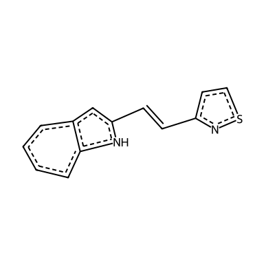 C(=Cc1cc2ccccc2[nH]1)c1ccsn1